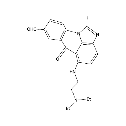 CCN(CC)CCNc1ccc2nc(C)n3c4ccc(C=O)cc4c(=O)c1c23